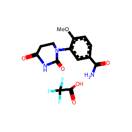 COc1ccc(C(N)=O)cc1N1CCC(=O)NC1=O.O=C(O)C(F)(F)F